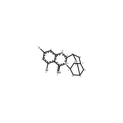 N=c1c2c(Br)cc(F)cc2nc2n1C1CC3CC(CC2C3)C1